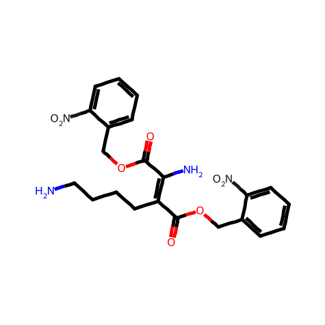 NCCCCC(C(=O)OCc1ccccc1[N+](=O)[O-])=C(N)C(=O)OCc1ccccc1[N+](=O)[O-]